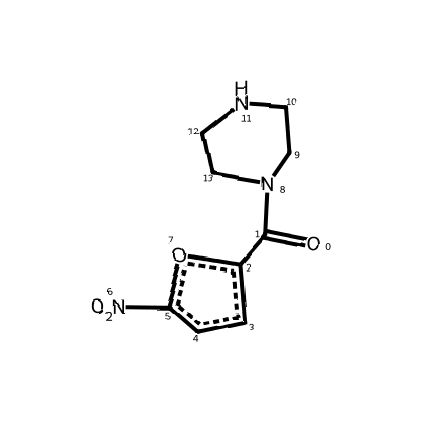 O=C(c1ccc([N+](=O)[O-])o1)N1CCNCC1